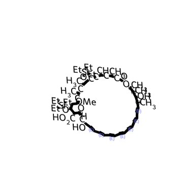 CC[Si](CC)(CC)OC1CCC(C)CC(C)CC(=O)O[C@@H](C)[C@H](C)C(O)[C@@H](C)/C=C/C=C/C=C/C=C/C=C/C=C/C=C/C(O)C[C@@H]2OC(OC)(CC(C)CC1C)C[C@H](O[Si](CC)(CC)CC)C2C(=O)O